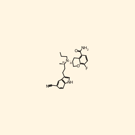 CCCN([C@H]1COc2c(F)ccc(C(N)=O)c2C1)[C@H](C)CCc1c[nH]c2ccc(C#N)cc12